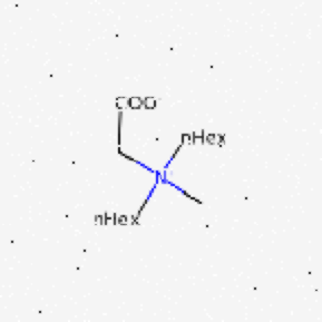 CCCCCC[N+](C)(CCCCCC)CC(=O)[O-]